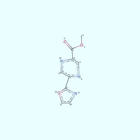 COC(=O)c1cnc(-c2ncco2)cn1